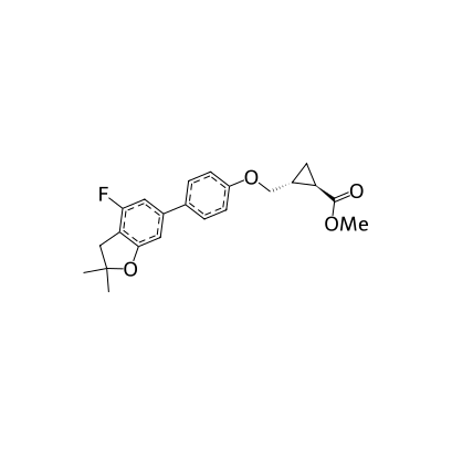 COC(=O)[C@@H]1C[C@H]1COc1ccc(-c2cc(F)c3c(c2)OC(C)(C)C3)cc1